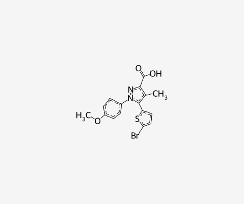 COc1ccc(-n2nc(C(=O)O)c(C)c2-c2ccc(Br)s2)cc1